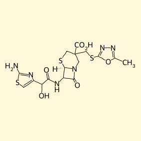 Cc1nnc(SCC2(C(=O)O)CS[C@@H]3C(NC(=O)C(O)c4csc(N)n4)C(=O)N3C2)o1